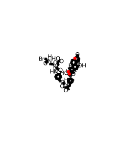 C[C@]12C=CC(=O)C=C1CC[C@@H]1[C@@H]2[C@@H](O)C[C@@]2(C)[C@H]1C[C@H]1O[C@@H](c3ccc(CC4(NC(=O)OCc5ccc(NC(=O)[C@H](CCC(=O)O)NC(=O)CNC(=O)CBr)cc5)COC4)cc3)O[C@]12C(=O)CO